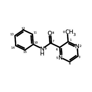 Cc1nccnc1C(=O)Nc1ccccc1